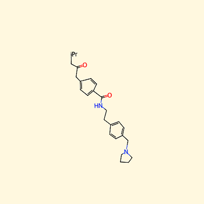 CC(C)CC(=O)Cc1ccc(C(=O)NCCc2ccc(CN3CCCC3)cc2)cc1